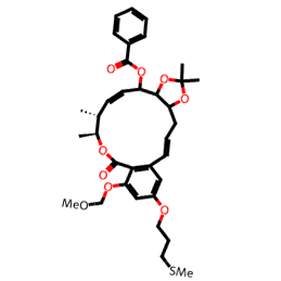 COCOc1cc(OCCCSC)cc2c1C(=O)O[C@@H](C)[C@H](C)/C=C\C(OC(=O)c1ccccc1)C1OC(C)(C)OC1C/C=C/2